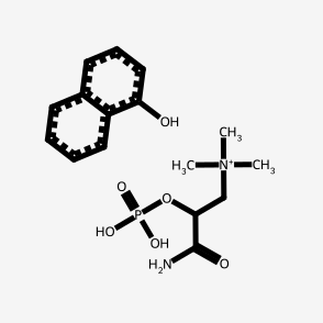 C[N+](C)(C)CC(OP(=O)(O)O)C(N)=O.Oc1cccc2ccccc12